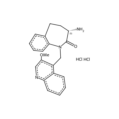 COc1cnc2ccccc2c1CN1C(=O)[C@@H](N)CCc2ccccc21.Cl.Cl